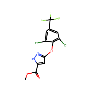 COC(=O)c1cc(Oc2c(Cl)cc(C(F)(F)F)cc2Cl)n[nH]1